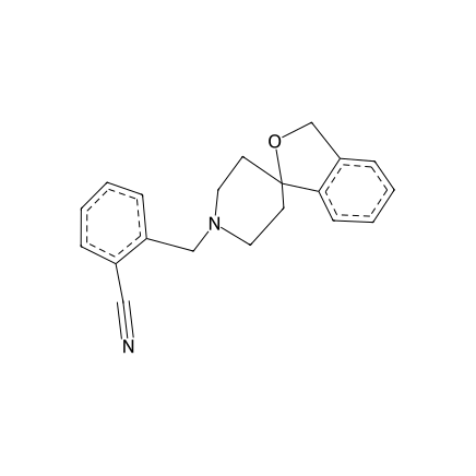 N#Cc1ccccc1CN1CCC2(CC1)OCc1ccccc12